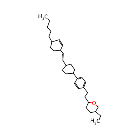 CCCCCC1C=CC(/C=C/C2CCC(c3ccc(CCC4CCC(CC)CO4)cc3)CC2)CC1